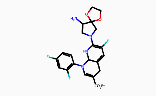 CCOC(=O)C1=CN(c2ccc(F)cc2F)C2NC(N3CC(N)C4(C3)OCCO4)=C(F)C=C2C1